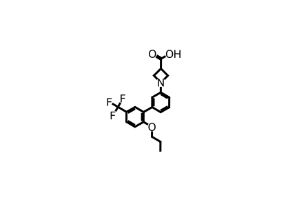 CCCOc1ccc(C(F)(F)F)cc1-c1cccc(N2CC(C(=O)O)C2)c1